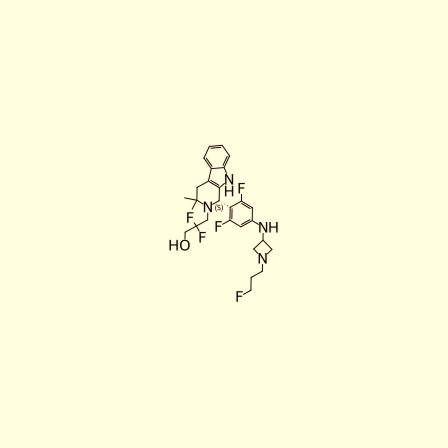 CC1(C)Cc2c([nH]c3ccccc23)[C@H](c2c(F)cc(NC3CN(CCCF)C3)cc2F)N1CC(F)(F)CO